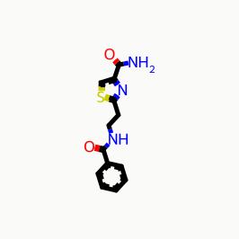 NC(=O)c1csc(CCNC(=O)c2ccccc2)n1